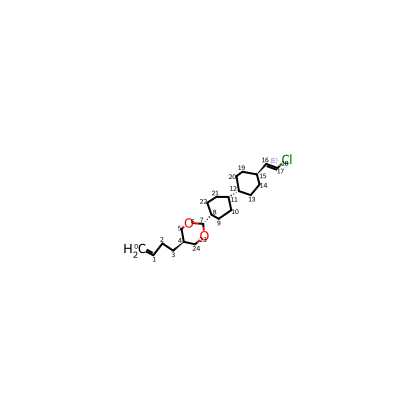 C=CCC[C@H]1CO[C@H](C2CCC([C@H]3CC[C@H](/C=C/Cl)CC3)CC2)OC1